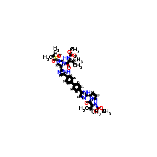 C=C(C)[C@H](NC(=O)OC)C(=O)N1CC=C[C@H]1c1ncc(-c2ccc(-c3ccc(-c4cnc([C@@H]5CN(S(=O)(=O)C(C)C)CN5C(=O)[C@@H](NC(=O)OC)C(C)C)[nH]4)cc3)cc2)[nH]1